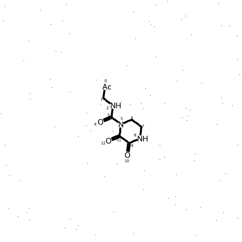 CC(=O)CNC(=O)N1CCNC(=O)C1=O